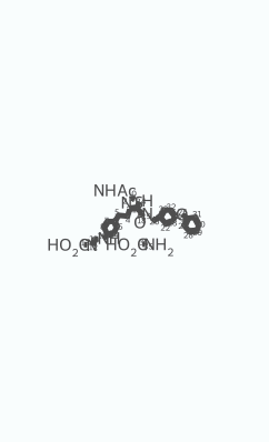 CC(=O)Nc1nc(CCc2ccc(NC=NC(=O)O)cc2)c(C(=O)NCc2ccc(Oc3ccccc3)cc2)s1.NC(=O)O